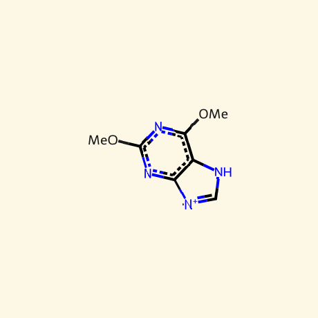 COc1nc2c(c(OC)n1)NC=[N+]2